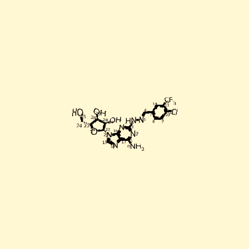 Nc1nc(NN=Cc2ccc(Cl)c(C(F)(F)F)c2)nc2c1ncn2[C@@H]1O[C@H](CO)[C@@H](O)[C@H]1O